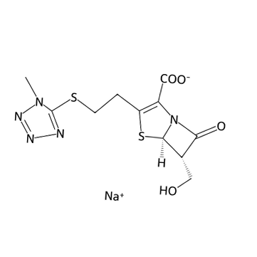 Cn1nnnc1SCCC1=C(C(=O)[O-])N2C(=O)[C@H](CO)[C@H]2S1.[Na+]